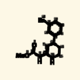 COC(=O)NC1=NC(c2cccc(Br)c2)CCN1